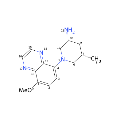 COc1ccc(N2C[C@@H](C)C[C@@H](N)C2)c2nccnc12